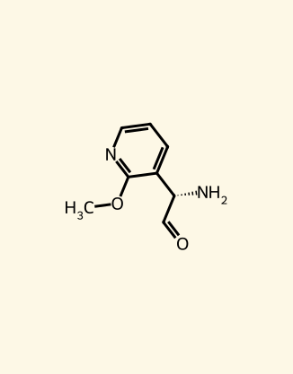 COc1ncccc1[C@H](N)C=O